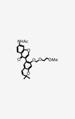 COCCOCOc1cc2c(cc1-c1coc3cc(NC(C)=O)ccc3c1=O)C=CC(C)(C)O2